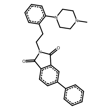 CN1CCN(c2ccccc2CCN2C(=O)c3ccc(-c4ccccc4)cc3C2=O)CC1